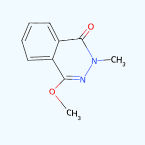 COc1nn(C)c(=O)c2ccccc12